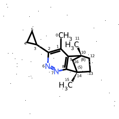 Cc1c(C2CC2)nnc2c1[C@]1(C)CC[C@@]2(C)C1